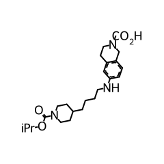 CC(C)OC(=O)N1CCC(CCCCNc2ccc3c(c2)CCN(C(=O)O)C3)CC1